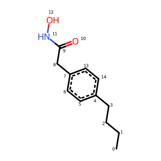 CCCCc1ccc(CC(=O)NO)cc1